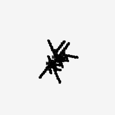 CCCCCCCCCCCC(=O)O[C@H](CCCCCCCCCCC)CC(=O)N[C@H]1C(OC(=O)C[C@@H](CCCCCCCCCCC)OC(=O)CCCCCCCCCCC)[C@H](OP(=O)(OCCCC)OCCCC)C(COCCCC)O[C@H]1OCC1O[C@H](OCCCC)C(NC(=O)C[C@@H](CCCCCCCCCCC)OCCCC)[C@@H](OC(=O)C[C@@H](CCCCCCCCCCC)OCCCC)[C@@H]1OCCCC